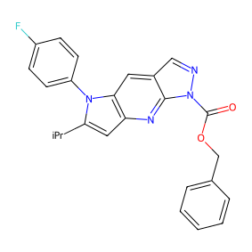 CC(C)c1cc2nc3c(cnn3C(=O)OCc3ccccc3)cc2n1-c1ccc(F)cc1